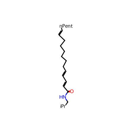 CCCCCC=CCCCCCCC=CC=CC(=O)NCC(C)C